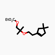 CCOC(=O)OCC(C)(C)OCCC1=CCC(C)(C)C1